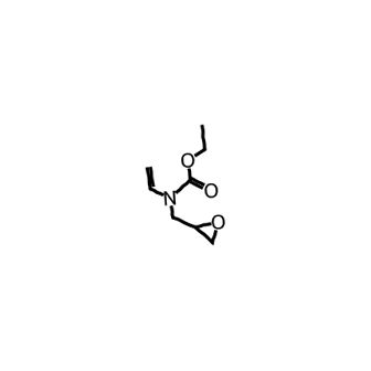 C=CN(CC1CO1)C(=O)OCC